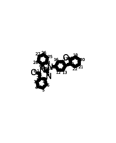 O=c1c2ccccc2nc2n(-c3ccc4c(c3)oc3ccccc34)c3ccccc3n12